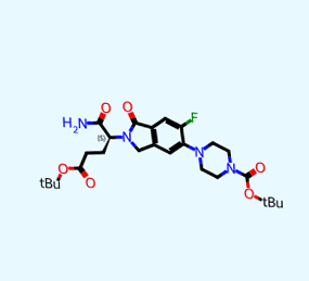 CC(C)(C)OC(=O)CC[C@@H](C(N)=O)N1Cc2cc(N3CCN(C(=O)OC(C)(C)C)CC3)c(F)cc2C1=O